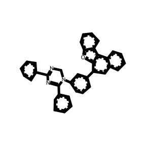 c1ccc(C2=NCN(c3cccc(-c4cc5ccccc5c5c4oc4ccccc45)c3)C(c3ccccc3)=N2)cc1